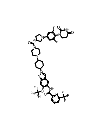 [2H]C([2H])([2H])Oc1cc2nn(C3CCC(N4CCN(C(=O)[C@@H]5CCN(c6cc(F)c(N7CCC(=O)NC7=O)c(F)c6)C5)CC4)CC3)cc2cc1NC(=O)c1cccc(C(F)(F)F)n1